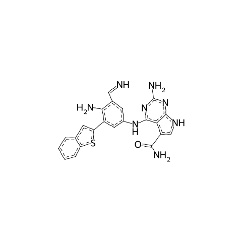 N=Cc1cc(Nc2nc(N)nc3[nH]cc(C(N)=O)c23)cc(-c2cc3ccccc3s2)c1N